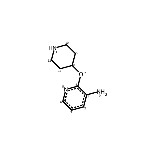 Nc1cccnc1OC1CCNCC1